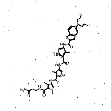 Cc1c(NC(=O)c2cc3cc(N(CCCl)CCCl)ccc3s2)c[nH]c1C(=O)Nc1c[nH]c(C(=O)Nc2c[nH]c(C(=O)NCCC(N)=O)c2C)c1C